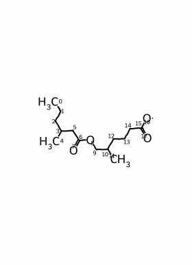 CCCC(C)CC(=O)OCC(C)CCCC([O])=O